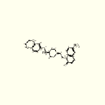 O=c1ccc2cc([N+](=O)[O-])ccc2n1CCN1CCC(NCc2ccc3c(c2)OCCO3)CC1